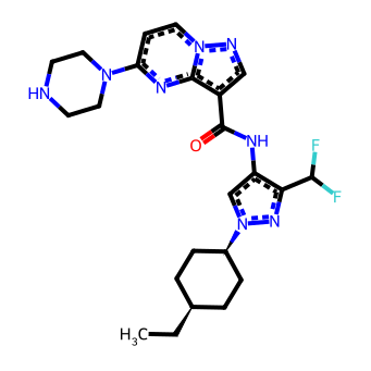 CC[C@H]1CC[C@@H](n2cc(NC(=O)c3cnn4ccc(N5CCNCC5)nc34)c(C(F)F)n2)CC1